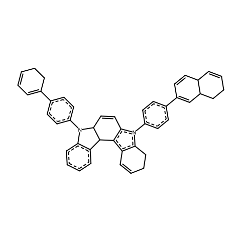 C1=CCCC(c2ccc(N3c4ccccc4C4c5c6c(n(-c7ccc(C8=CC9CCC=CC9C=C8)cc7)c5C=CC43)CCC=C6)cc2)=C1